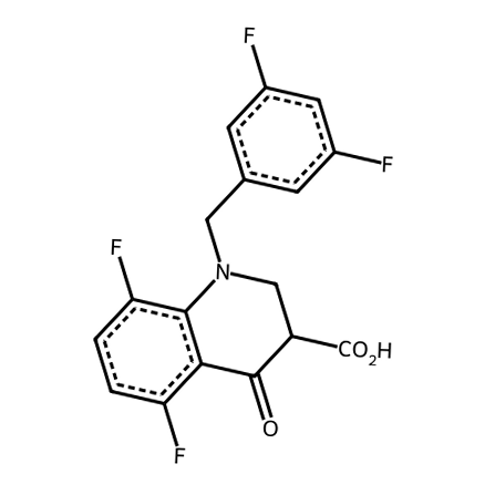 O=C(O)C1CN(Cc2cc(F)cc(F)c2)c2c(F)ccc(F)c2C1=O